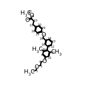 CCOCCOc1cc(C)c(-c2cccc(COc3ccc(CCC(=O)OC)cc3)c2)c(C)c1